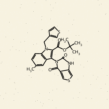 Cc1ccc2c(c1)c(-n1c(=O)[nH]c3cscc3c1=O)c(C(=O)OC(C)(C)C)n2Cc1ccsc1